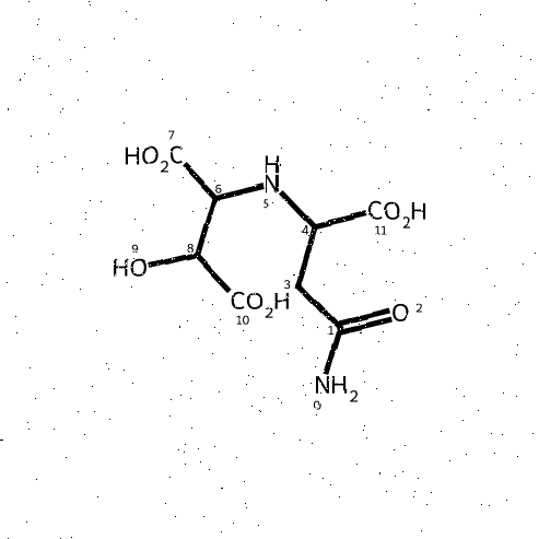 NC(=O)CC(NC(C(=O)O)C(O)C(=O)O)C(=O)O